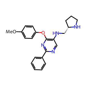 COc1ccc(Oc2nc(-c3ccccc3)ncc2NC[C@@H]2CCCN2)cc1